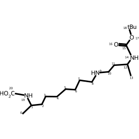 CC(CCCCCCCNCCC(C)NC(=O)OC(C)(C)C)NC(=O)O